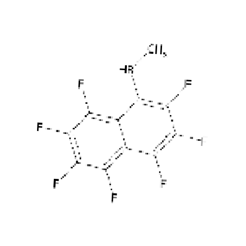 CBc1c(F)c(F)c(F)c2c(F)c(F)c(F)c(F)c12